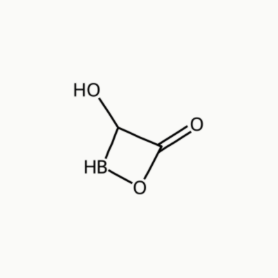 O=C1OBC1O